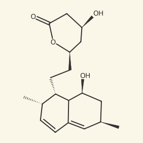 C[C@H]1C=C2C=C[C@H](C)[C@H](CC[C@@H]3C[C@H](O)CC(=O)O3)C2[C@@H](O)C1